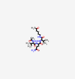 CC(=O)CCCCNC(=O)C(NC(=O)C(CCC(N)=O)NC(=O)C(NC(C)=O)C(C)C)C(C)C